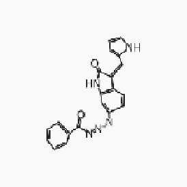 O=C1Nc2cc(N=[N+]=NC(=O)c3ccccc3)ccc2C1=Cc1ccc[nH]1